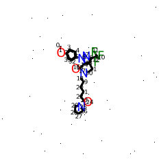 COc1ccc(-n2nc(C(F)(F)F)c3c2C(=O)N(CCCCCC(=O)N2CCCC2)CC3)cc1